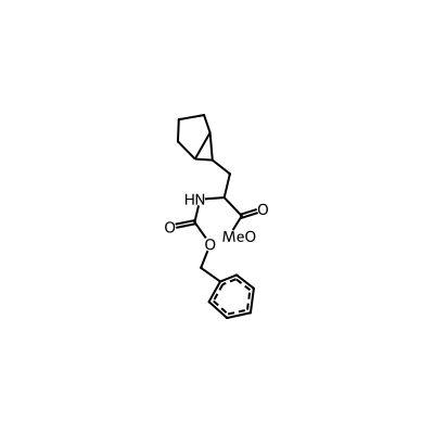 COC(=O)C(CC1C2CCCC21)NC(=O)OCc1ccccc1